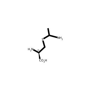 CC(N)SC[C@H](N)C(=O)O